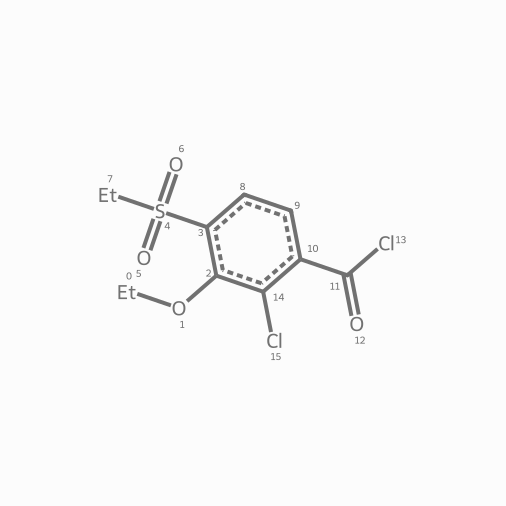 CCOc1c(S(=O)(=O)CC)ccc(C(=O)Cl)c1Cl